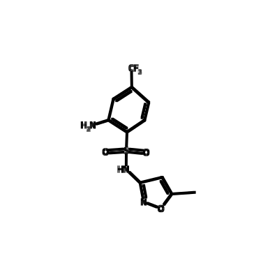 Cc1cc(NS(=O)(=O)c2ccc(C(F)(F)F)cc2N)no1